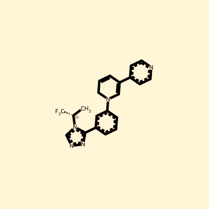 C[C@H](n1cnnc1-c1cccc(N2C=C(c3ccncc3)C=CC2)c1)C(F)(F)F